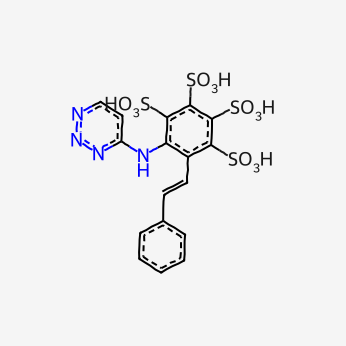 O=S(=O)(O)c1c(C=Cc2ccccc2)c(Nc2ccnnn2)c(S(=O)(=O)O)c(S(=O)(=O)O)c1S(=O)(=O)O